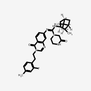 Cc1ccc(CCn2cnc3cc(N=C(N[C@H]4C[C@H]5C[C@H]([C@H]4C)C5(C)C)N4CCNC(=O)C4)ccc3c2=O)c(F)c1